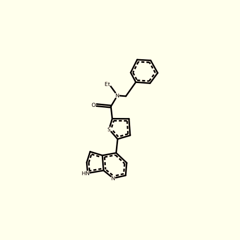 CCN(Cc1ccccc1)C(=O)c1ccc(-c2ccnc3[nH]ccc23)s1